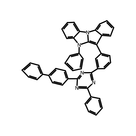 c1ccc(-c2ccc(-c3nc(-c4ccccc4)nc(-c4cccc(-c5c6ccccc6n6c7ccccc7n(-c7ccccc7)c56)c4)n3)cc2)cc1